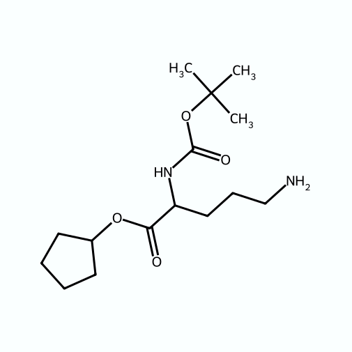 CC(C)(C)OC(=O)NC(CCCN)C(=O)OC1CCCC1